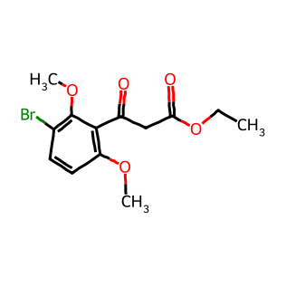 CCOC(=O)CC(=O)c1c(OC)ccc(Br)c1OC